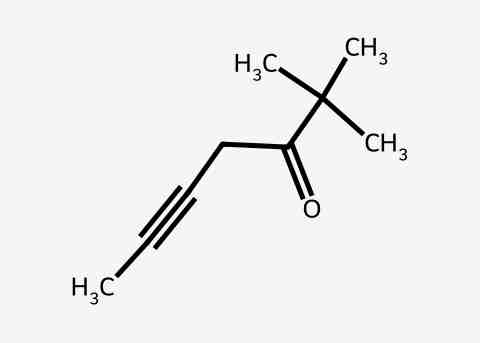 CC#CCC(=O)C(C)(C)C